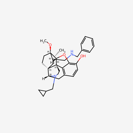 CO[C@]12CC[C@@]3(C[C@]1(C)CNCc1ccccc1)[C@H]1Cc4ccc(O)c5c4[C@@]3(CCN1CC1CC1)[C@H]2O5